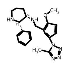 COc1ccc(-n2nnnc2C)cc1CN[C@H]1CCCN[C@H]1c1ccccc1